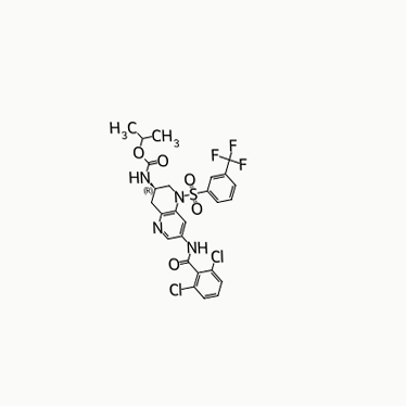 CC(C)OC(=O)N[C@@H]1Cc2ncc(NC(=O)c3c(Cl)cccc3Cl)cc2N(S(=O)(=O)c2cccc(C(F)(F)F)c2)C1